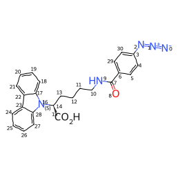 [N-]=[N+]=Nc1ccc(C(=O)NCCCC[C@@H](C(=O)O)n2c3ccccc3c3ccccc32)cc1